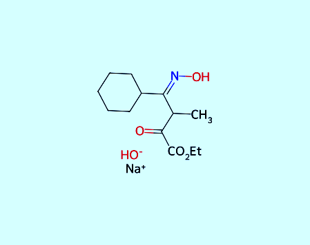 CCOC(=O)C(=O)C(C)C(=NO)C1CCCCC1.[Na+].[OH-]